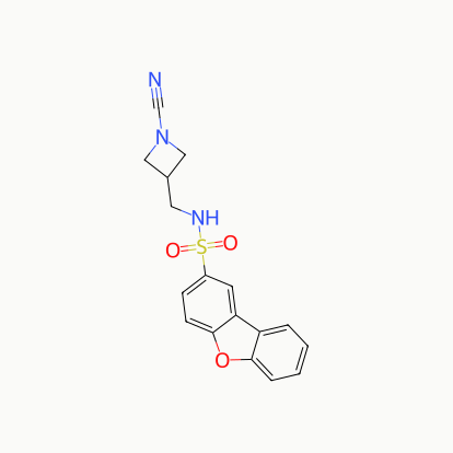 N#CN1CC(CNS(=O)(=O)c2ccc3oc4ccccc4c3c2)C1